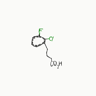 O=C(O)CCCc1cccc(F)c1Cl